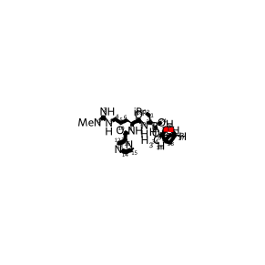 CNC(=N)NCCC[C@H](NC(=O)c1cnccn1)C(=O)N[C@@H](CC(C)C)B1O[C@@H]2C[C@@H]3C[C@@H](C3(C)C)[C@]2(C)O1